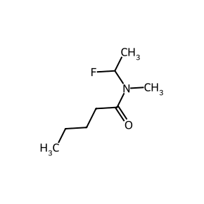 CCCCC(=O)N(C)C(C)F